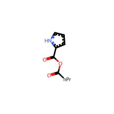 CCCC(=O)OC(=O)c1ccc[nH]1